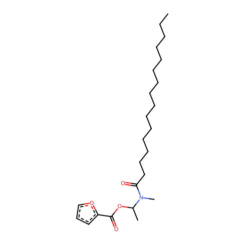 CCCCCCCCCCCCCCCC(=O)N(C)C(C)OC(=O)c1ccco1